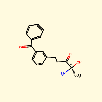 N[C@](O)(C(=O)O)C(=O)CCc1cccc(C(=O)c2ccccc2)c1